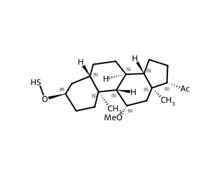 CO[C@H]1C[C@]2(C)[C@@H](C(C)=O)CC[C@H]2[C@@H]2CC[C@H]3C[C@H](OS)CC[C@]3(C)[C@H]21